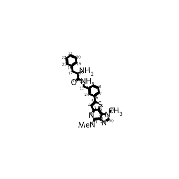 CNc1nc2cc(-c3cccc(CNC(=O)[C@H](N)Cc4ccccc4)c3)sc2c2c1ncn2C